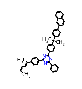 C/C=C\C=C(/C)c1ccc(-c2nc(-c3ccccc3)nc(-c3ccc(C(C)(C)c4ccc(-c5ccc6ccccc6c5)cc4)cc3)n2)cc1